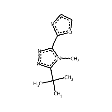 Cn1c(-c2ncco2)nnc1C(C)(C)C